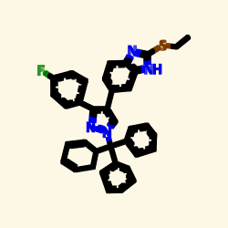 CCSc1nc2ccc(-c3cn(C(c4ccccc4)(c4ccccc4)C4C=CC=CC4)nc3-c3ccc(F)cc3)cc2[nH]1